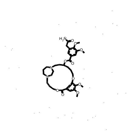 COc1cc(C(=O)OC2CCCOc3cc(cc(OC)c3OC)C(=O)OCCCN3CCCN(CC2)CC3)cc(CC(N)=O)c1OC